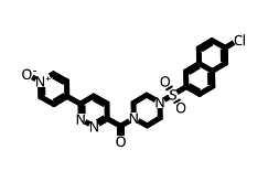 O=C(c1ccc(-c2cc[n+]([O-])cc2)nn1)N1CCN(S(=O)(=O)c2ccc3cc(Cl)ccc3c2)CC1